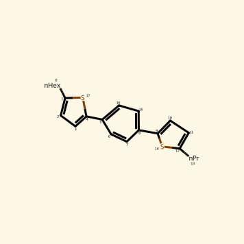 CCCCCCc1ccc(-c2ccc(-c3ccc(CCC)s3)cc2)s1